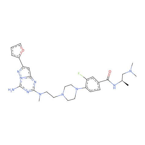 C[C@H](CN(C)C)NC(=O)c1ccc(N2CCN(CCN(C)c3nc(N)n4nc(-c5ccco5)cc4n3)CC2)c(F)c1